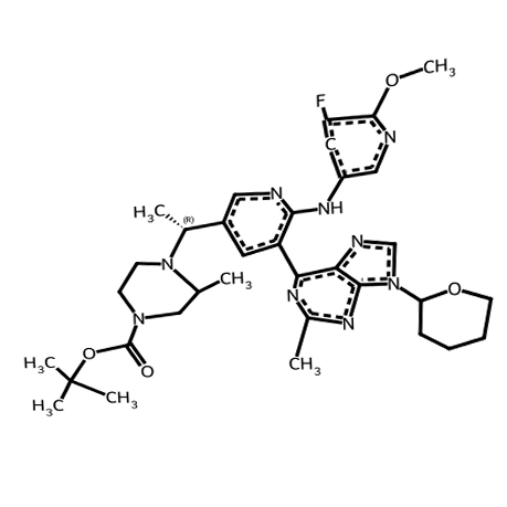 COc1ncc(Nc2ncc([C@@H](C)N3CCN(C(=O)OC(C)(C)C)CC3C)cc2-c2nc(C)nc3c2ncn3C2CCCCO2)cc1F